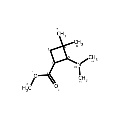 COC(=O)C1CC(C)(C)C1N(C)C